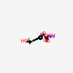 C[C@@](CCn1c(=O)sc2cc(C#CC#C[C@H]3C[C@]3(F)CO)ccc21)(C(=O)NO)S(C)(=O)=O